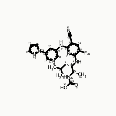 CC(C)C[C@H](Nc1nc(Nc2cncc(-n3cccn3)c2)c(C#N)cc1F)[C@H](C)NC(=O)O